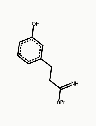 CCCC(=N)CCc1cccc(O)c1